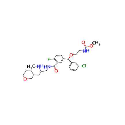 CNC(CNC(=O)c1cc([C@@H](OCCNC(=O)OC)c2cccc(Cl)c2)ccc1F)CC1CCCOC1